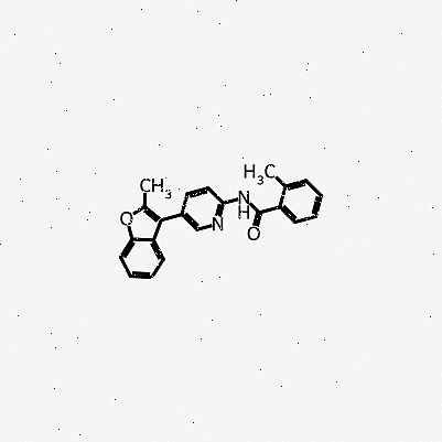 Cc1ccccc1C(=O)Nc1ccc(-c2c(C)oc3ccccc23)cn1